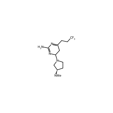 CN[C@@H]1CCN(C2CC(CCC(F)(F)F)=NC(N)=N2)C1